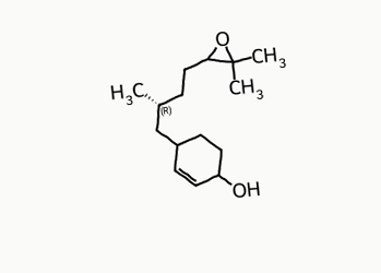 C[C@H](CCC1OC1(C)C)CC1C=CC(O)CC1